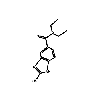 CCN(CC)C(=O)c1ccc2[nH]c(S)nc2c1